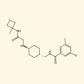 Cc1cc(F)cc(C(=O)NC[C@H]2CC[C@H](NCC(=O)NC3(C)CCC3)CC2)c1